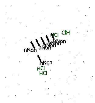 CCCCCCCCCC.CCCCCCCCCC.CCCCCCCCCC.CCCCCCCCCC.CCCCCCCCCC.CCCCCCCCCC.Cl.Cl.Cl.Cl